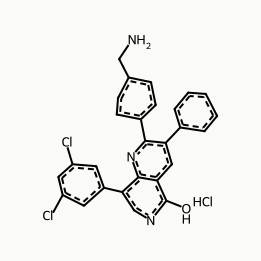 Cl.NCc1ccc(-c2nc3c(-c4cc(Cl)cc(Cl)c4)cnc(O)c3cc2-c2ccccc2)cc1